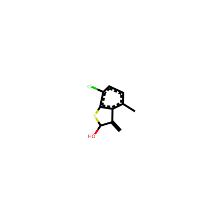 C=C1c2c(C)ccc(Cl)c2SC1O